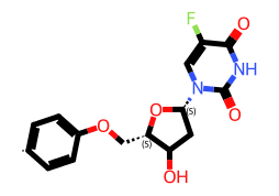 O=c1[nH]c(=O)n([C@@H]2CC(O)[C@H](COc3cc[c]cc3)O2)cc1F